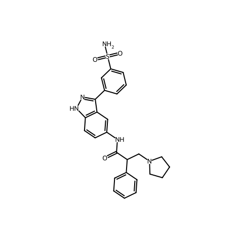 NS(=O)(=O)c1cccc(-c2n[nH]c3ccc(NC(=O)C(CN4CCCC4)c4ccccc4)cc23)c1